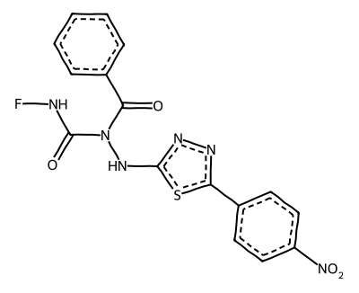 O=C(NF)N(Nc1nnc(-c2ccc([N+](=O)[O-])cc2)s1)C(=O)c1ccccc1